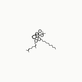 CCCCCCCCCCOc1c(OC(C)C)c(=O)oc2cccc(OCC=C(C)CCC=C(C)C)c12